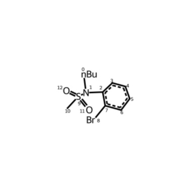 CCCCN(c1ccccc1Br)S(C)(=O)=O